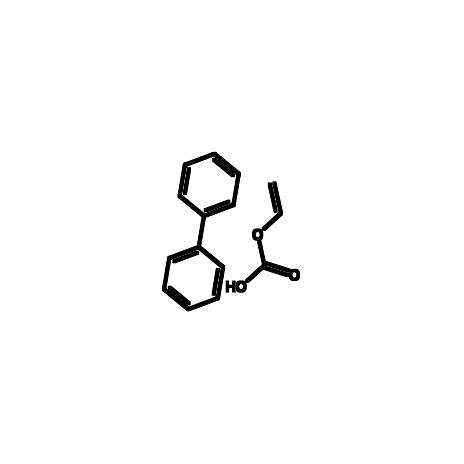 C=COC(=O)O.c1ccc(-c2ccccc2)cc1